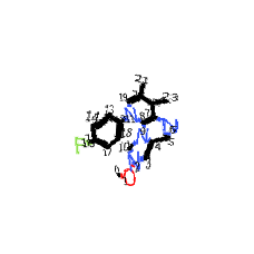 CON1C=C2C=NC3=C(N2C1)N(c1ccc(F)cc1)C=C(C)C3C